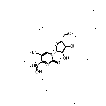 Nc1cn([C@@H]2O[C@H](CO)[C@@H](O)[C@H]2O)c(=O)nc1NO